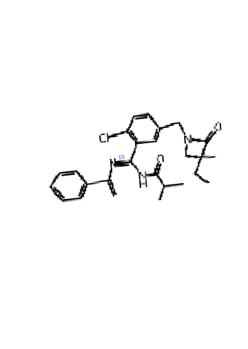 C=C(/N=C(\NC(=O)C(C)C)c1cc(CN2CC(C)(CC)C2=O)ccc1Cl)c1ccccc1